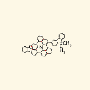 CC1(C)c2ccccc2-c2cc(-c3cccc(N(c4ccccc4-c4ccccc4)c4ccccc4-c4ccc5c(c4)oc4ccccc45)c3-c3ccccc3)ccc21